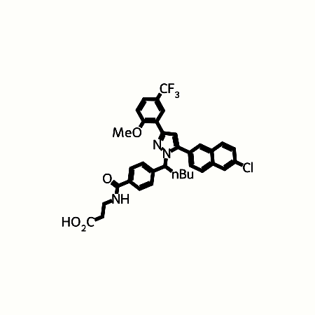 CCCCC(c1ccc(C(=O)NCCC(=O)O)cc1)n1nc(-c2cc(C(F)(F)F)ccc2OC)cc1-c1ccc2cc(Cl)ccc2c1